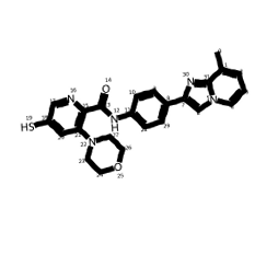 Cc1cccn2cc(-c3ccc(NC(=O)c4ncc(S)cc4N4CCOCC4)cc3)nc12